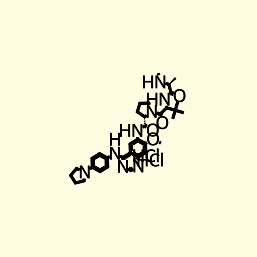 CN[C@@H](C)C(=O)N[C@H](C(=O)N1CCC[C@H]1C(=O)Nc1cc2c(Nc3ccc(N4CCCC4)cc3)ncnc2cc1OC)C(C)(C)C.Cl.Cl